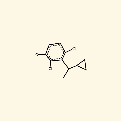 CC(c1c(Cl)ccc([O])c1Cl)C1CC1